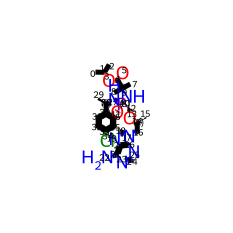 CC(C)OC(=O)C(C)(C)N[P@](=O)(CO[C@H](C)Cn1cnc2c(N)ncnc21)N[C@H](C)c1ccc(Cl)cc1